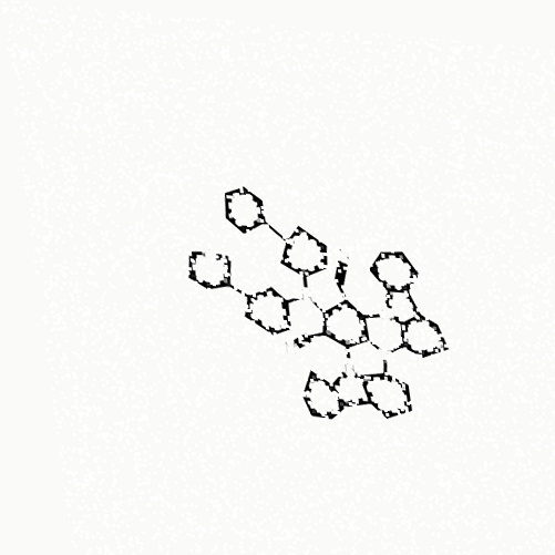 N#Cc1c(N(c2cccc(-c3ccccc3)c2)c2cccc(-c3ccccc3)c2)c(C#N)c2c3c1-n1c4ccccc4c4cccc(c41)B3c1cccc3c4ccccc4n-2c13